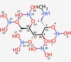 CNC[C@H](ON(O)O)[C@@H](ON(O)O)[C@H](ON(O)O)[C@@H](CON(O)O)ON(O)O